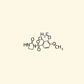 COc1ccc(S(=O)(=O)N2CCNC2=O)c(Cl)c1OC